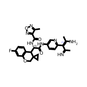 CC(=N)/C(=C(/C)N)c1ccc(NC(=O)[C@@H](NC(=O)c2nonc2C)C2c3ccc(F)cc3OCC23CC3)cn1